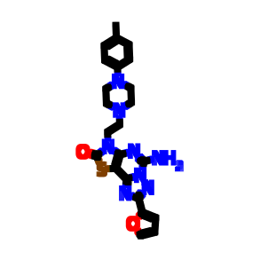 Cc1ccc(N2CCN(CCn3c(=O)sc4c3nc(N)n3nc(-c5ccco5)nc43)CC2)cc1